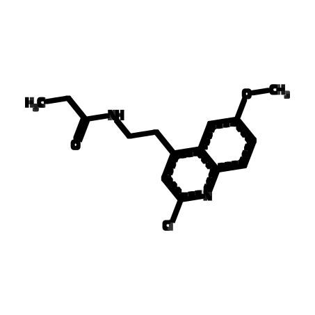 CCC(=O)NCCc1cc(Cl)nc2ccc(OC)cc12